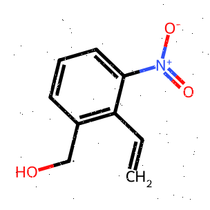 C=Cc1c([CH]O)cccc1[N+](=O)[O-]